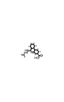 CN(C)CCNc1nc2cc(C(=O)O)ccc2c2ccccc12